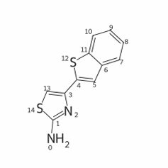 Nc1nc(-c2cc3ccccc3s2)cs1